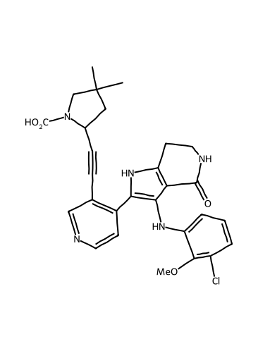 COc1c(Cl)cccc1Nc1c(-c2ccncc2C#CC2CC(C)(C)CN2C(=O)O)[nH]c2c1C(=O)NCC2